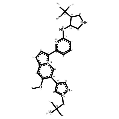 COc1cc2ncc(-c3cccc(NC4CNCC4C(F)(F)F)n3)n2cc1-c1cnn(CC(C)(C)O)c1